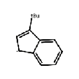 CC(C)(C)C1=C[C]c2ccccc21